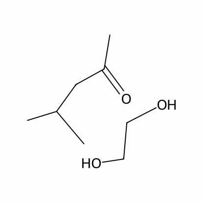 CC(=O)CC(C)C.OCCO